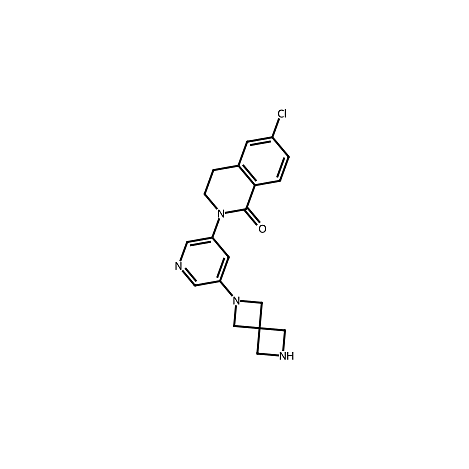 O=C1c2ccc(Cl)cc2CCN1c1cncc(N2CC3(CNC3)C2)c1